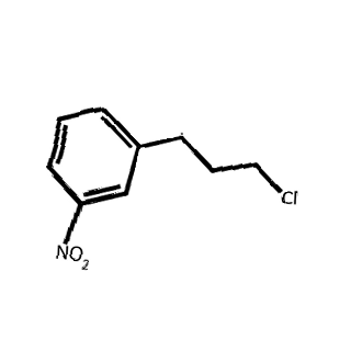 O=[N+]([O-])c1cccc([CH]CCCl)c1